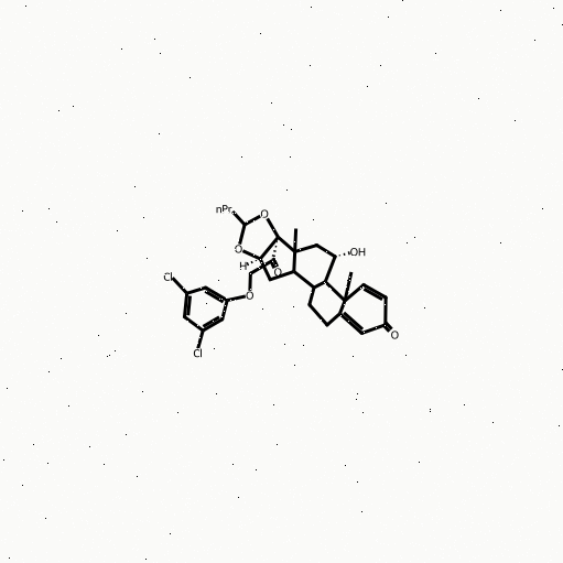 CCCC1O[C@@H]2CC3C4CCC5=CC(=O)C=CC5(C)C4[C@@H](O)CC3(C)[C@]2(C(=O)COc2cc(Cl)cc(Cl)c2)O1